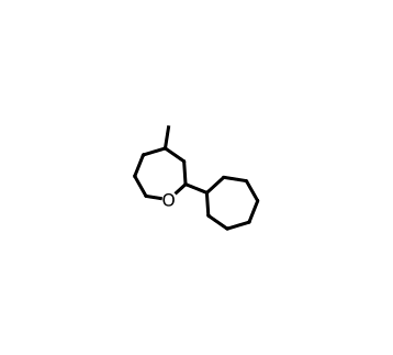 CC1CCCOC(C2CCCCCC2)C1